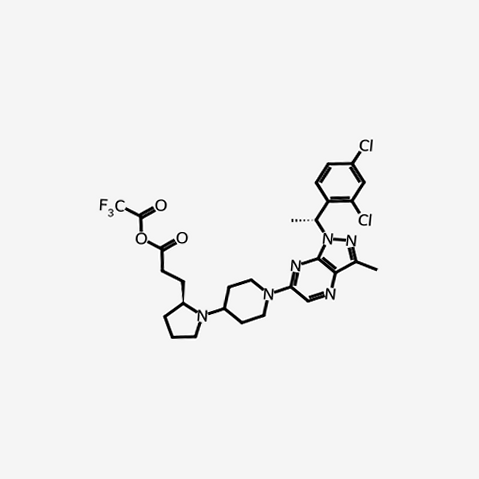 Cc1nn([C@H](C)c2ccc(Cl)cc2Cl)c2nc(N3CCC(N4CCC[C@H]4CCC(=O)OC(=O)C(F)(F)F)CC3)cnc12